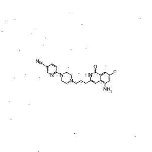 N#Cc1ccc(N2CCN(CCCc3cc4c(N)cc(F)cc4c(=O)[nH]3)CC2)nc1